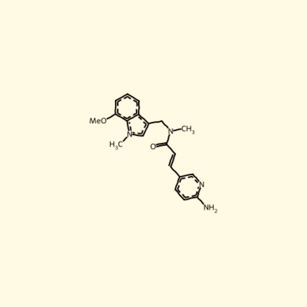 COc1cccc2c(CN(C)C(=O)C=Cc3ccc(N)nc3)cn(C)c12